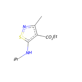 CCOC(=O)c1c(C)nsc1NC(C)C